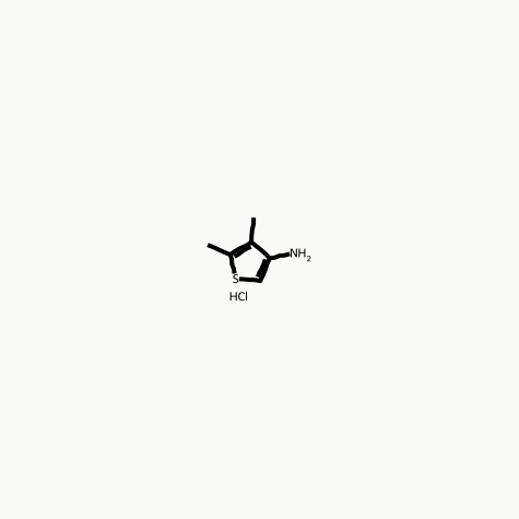 Cc1scc(N)c1C.Cl